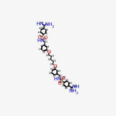 N=C(N)c1ccc(S(=O)(=O)NCc2cccc(OCCCCCOc3cccc(CNS(=O)(=O)c4ccc(C(=N)N)cc4)c3)c2)cc1